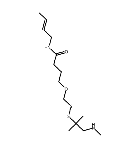 C/C=C/CNC(=O)CCCOCSSC(C)(C)CNC